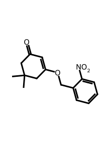 CC1(C)CC(=O)C=C(OCc2ccccc2[N+](=O)[O-])C1